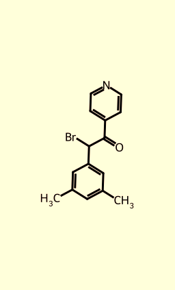 Cc1cc(C)cc(C(Br)C(=O)c2ccncc2)c1